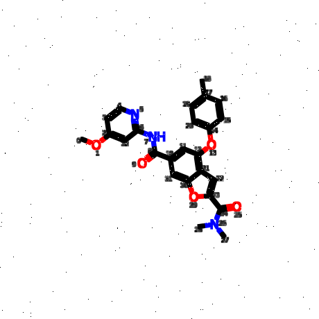 COc1ccnc(NC(=O)c2cc(Oc3ccc(C)cc3)c3cc(C(=O)N(C)C)oc3c2)c1